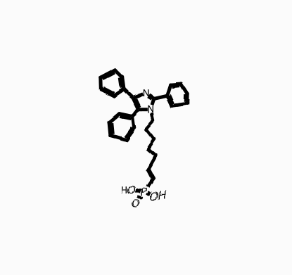 O=P(O)(O)CCCCCCCn1c(-c2ccccc2)nc(-c2ccccc2)c1-c1ccccc1